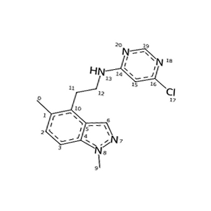 Cc1ccc2c(cnn2C)c1CCNc1cc(Cl)ncn1